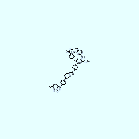 COc1cc(N2CCN(C(=O)CN3CCC(c4ccc(NC5CCC(=O)NC5=O)cc4)CC3)CC2)c(C)cc1Nc1ncc(Cl)c(Nc2ccccc2C(=O)N(C)C)n1